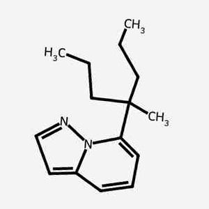 CCCC(C)(CCC)c1cccc2ccnn12